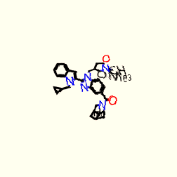 COc1cc(C(=O)N2CC3CC4CC2[C@H]43)cc2nc(-c3cc4ccccc4n3CC3CC3)n(CC3CC(=O)N(C)C3)c12